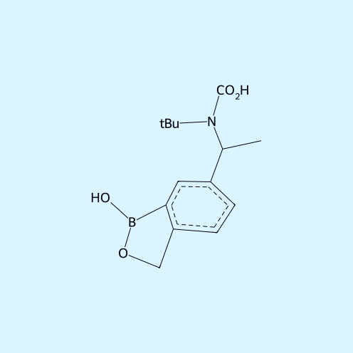 CC(c1ccc2c(c1)B(O)OC2)N(C(=O)O)C(C)(C)C